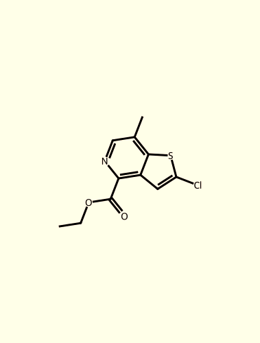 CCOC(=O)c1ncc(C)c2sc(Cl)cc12